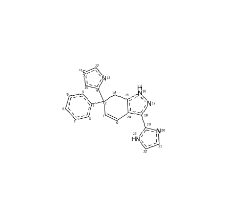 C1=CC(c2ccccc2)(c2cscn2)Cc2[nH]nc(-c3ncc[nH]3)c21